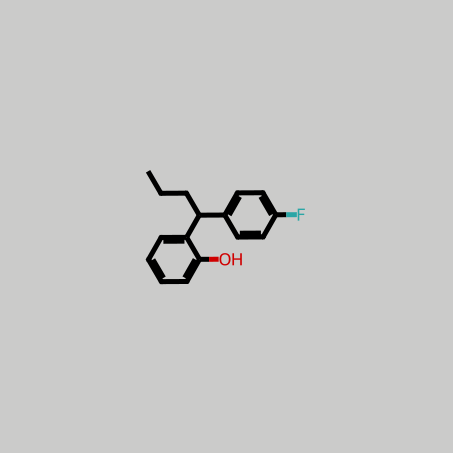 CCCC(c1ccc(F)cc1)c1ccccc1O